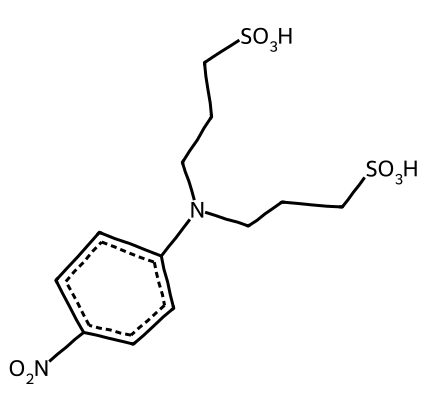 O=[N+]([O-])c1ccc(N(CCCS(=O)(=O)O)CCCS(=O)(=O)O)cc1